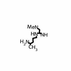 CNCC(=N)NCCCC(C)N